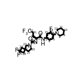 O=C(Nc1ccc(N2CCCCC2)c(F)c1)c1nc(N2CCC3(C2)CC(F)(F)C3)oc1CC(F)(F)F